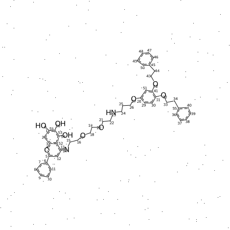 Oc1cc2oc(-c3ccccc3)c/c(=N/CCOCCOCCNCCCOc3ccc(OCCc4ccccc4)c(OCCc4ccccc4)c3)c2c(O)c1O